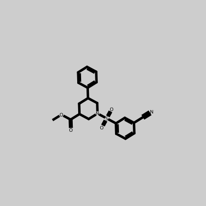 COC(=O)C1CC(c2ccccc2)CN(S(=O)(=O)c2cccc(C#N)c2)C1